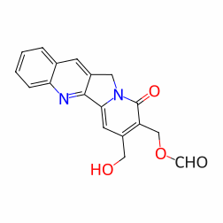 O=COCc1c(CO)cc2n(c1=O)Cc1cc3ccccc3nc1-2